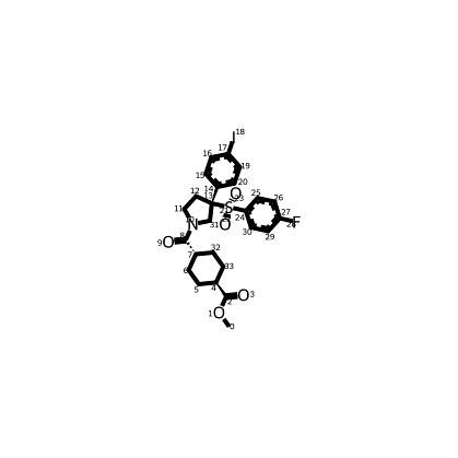 COC(=O)[C@H]1CC[C@H](C(=O)N2CC[C@](c3ccc(I)cc3)(S(=O)(=O)c3ccc(F)cc3)C2)CC1